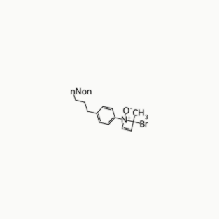 CCCCCCCCCCCCc1ccc([N+]2([O-])C=CC2(C)Br)cc1